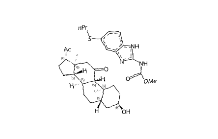 CC(=O)[C@H]1CC[C@H]2[C@@H]3CC[C@H]4C[C@H](O)CC[C@]4(C)[C@H]3C(=O)C[C@]12C.CCCSc1ccc2[nH]c(NC(=O)OC)nc2c1